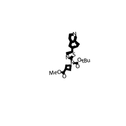 COC(=O)C1CC(N(C(=O)OC(C)(C)C)c2ncc(-c3ccc4cnccc4c3)s2)C1